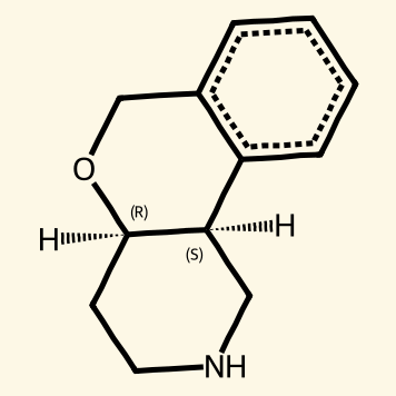 c1ccc2c(c1)CO[C@@H]1CCNC[C@H]21